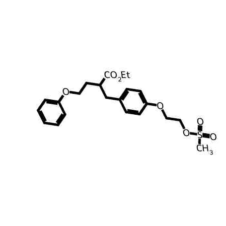 CCOC(=O)C(CCOc1ccccc1)Cc1ccc(OCCOS(C)(=O)=O)cc1